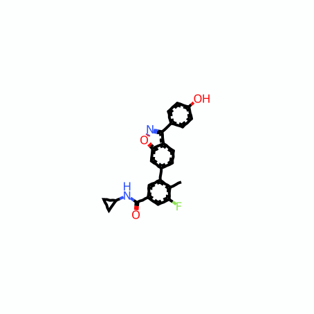 Cc1c(F)cc(C(=O)NC2CC2)cc1-c1ccc2c(-c3ccc(O)cc3)noc2c1